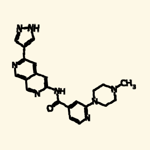 CN1CCN(c2cc(C(=O)Nc3cc4cc(-c5cn[nH]c5)ncc4cn3)ccn2)CC1